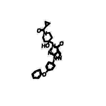 O=C(C1CC1)N1CCC(O)(Cn2cnc3c(cnn3-c3ccc(Oc4ccccc4)cc3)c2=O)CC1